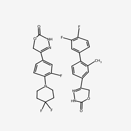 Cc1cc(C2=NNC(=O)OC2)ccc1-c1ccc(F)c(F)c1.O=C1NN=C(c2ccc(N3CCC(F)(F)CC3)c(F)c2)CO1